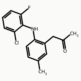 CC(=O)Cc1cc(C)ccc1Nc1c(F)cccc1Cl